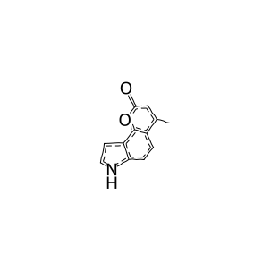 Cc1cc(=O)oc2c1ccc1[nH]ccc12